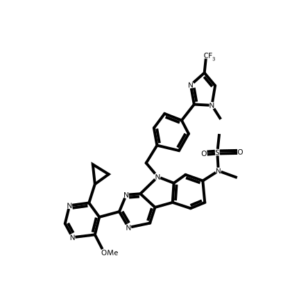 COc1ncnc(C2CC2)c1-c1ncc2c3ccc(N(C)S(C)(=O)=O)cc3n(Cc3ccc(-c4nc(C(F)(F)F)cn4C)cc3)c2n1